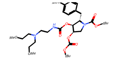 COCCN(CCNC(=O)O[C@@H]1[C@H](OC(=O)OC(C)(C)C)CN(C(=O)OC(C)(C)C)[C@H]1Cc1ccc(OC)cc1)CCOC